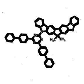 CC1(C)c2cc3oc4ccccc4c3cc2-c2cc3c4ccccc4n(-c4nc(-c5ccc(-c6ccccc6)cc5)nc(-c5ccc(-c6ccccc6)cc5)n4)c3cc21